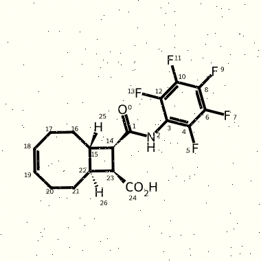 O=C(Nc1c(F)c(F)c(F)c(F)c1F)[C@@H]1[C@H]2CC/C=C\CC[C@@H]2[C@@H]1C(=O)O